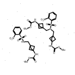 CC(C)(C)OC(=O)NC12CC(CN(CC34CC(NC(=O)OC(C)(C)C)(C3)C4)S(=O)(=O)c3ccccc3[N+](=O)[O-])(C1)C2.CC(C)(C)OC(=O)NC12CC(CNS(=O)(=O)c3ccccc3[N+](=O)[O-])(C1)C2